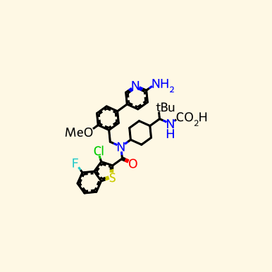 COc1ccc(-c2ccc(N)nc2)cc1CN(C(=O)c1sc2cccc(F)c2c1Cl)C1CCC(C(NC(=O)O)C(C)(C)C)CC1